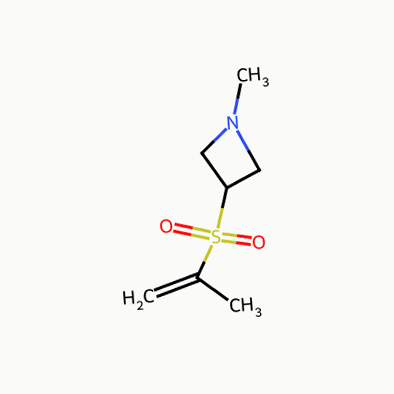 C=C(C)S(=O)(=O)C1CN(C)C1